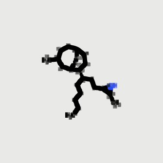 CCCCCC(CCC1N[C@H]1C)[C@H]1CCC2CCC(C)CC1CC2